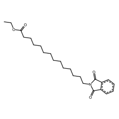 CCOC(=O)CCCCCCCCCCCCCN1C(=O)c2ccccc2C1=O